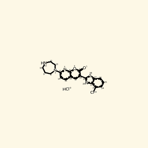 Cl.O=c1oc2nc(N3CCCNCC3)ccc2cc1-c1nc2c(Cl)cccc2s1